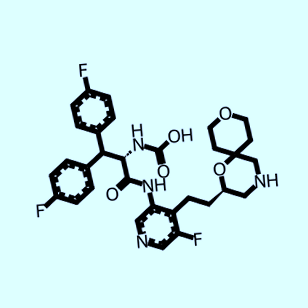 O=C(O)N[C@H](C(=O)Nc1cncc(F)c1CC[C@@H]1CNCC2(CCOCC2)O1)C(c1ccc(F)cc1)c1ccc(F)cc1